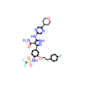 NC(=O)c1c(-c2ccc(NS(=O)(=O)C(F)F)c(OCCc3ccc(F)cc3)c2)n[nH]c1Nc1cnc(C2CCOCC2)cn1